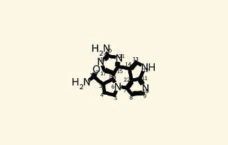 NC(=O)C1CCN(c2ccnc3[nH]cc(-c4ccnc(N)n4)c23)C1